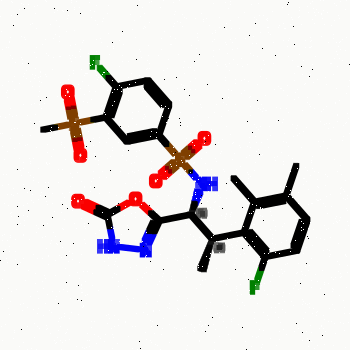 Cc1ccc(F)c([C@@H](C)[C@H](NS(=O)(=O)c2ccc(F)c(S(C)(=O)=O)c2)c2n[nH]c(=O)o2)c1C